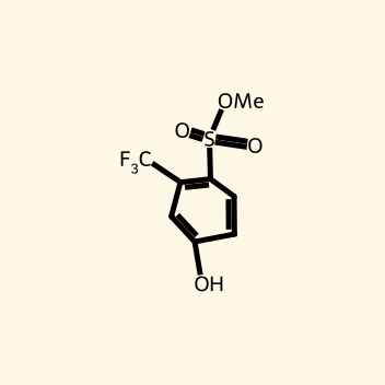 COS(=O)(=O)c1ccc(O)cc1C(F)(F)F